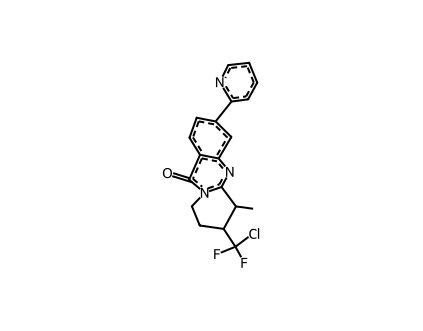 CC1c2nc3cc(-c4ccccn4)ccc3c(=O)n2CCC1C(F)(F)Cl